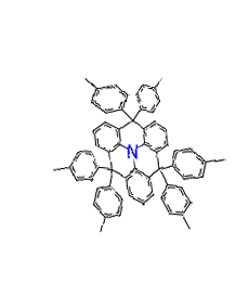 Cc1ccc(C2(c3ccc(C)cc3)c3cccc4c3N3c5c2cccc5C(c2ccc(C)cc2)(c2ccc(C)cc2)c2cccc(c23)C4(c2ccc(C)cc2)c2ccc(C)cc2)cc1